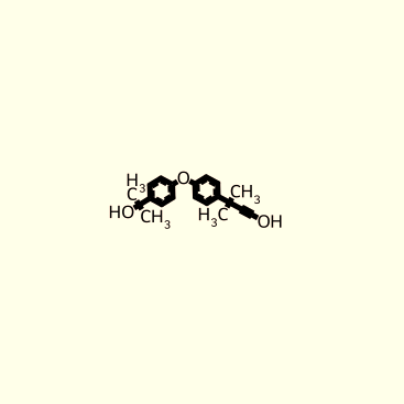 CC(C)(O)c1ccc(Oc2ccc(C(C)(C)C#CO)cc2)cc1